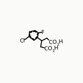 O=C(O)CC(CC(=O)O)c1cc(Cl)ccc1F